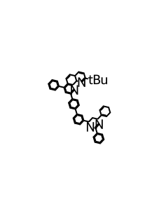 CC(C)(C)C1=NC2c3nc(-c4ccc(-c5cccc(C6=NC(c7ccccc7)=NC(C7=CCCC=C7)C6)c5)cc4)cc(-c4ccccc4)c3C=CC2C=C1